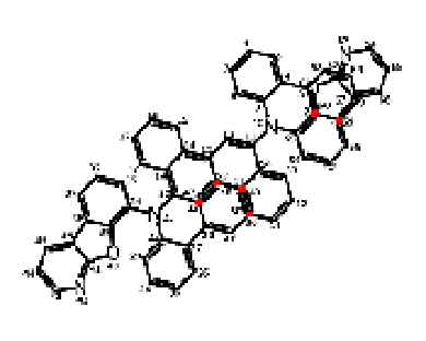 c1ccc(-c2ccccc2N(c2cc3c4ccccc4c(N(c4ccccc4-c4ccccc4)c4cccc5c4oc4ncccc45)cc3c3ccccc23)c2cccc3c2oc2ncccc23)cc1